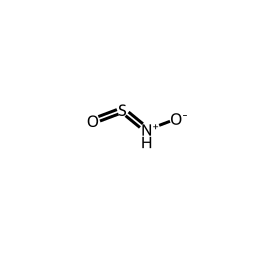 O=S=[NH+][O-]